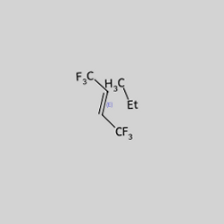 CCC.FC(F)(F)/C=C/C(F)(F)F